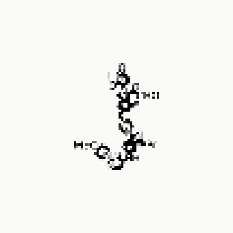 COC1CCN(c2nccc(Nc3cc4c(cn3)c(N3CCN(Cc5cc(F)c6c(c5)CN(C5CCC(=O)NC5=O)C6C(=O)C=O)CC3)nn4C(C)C)n2)CC1